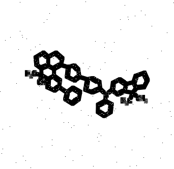 CC1(C)c2ccccc2-c2ccc(N(c3ccccc3)c3ccc(-c4ccc(-c5ccc6cccc7c6c5-c5cc(-c6ccccc6)ccc5C7(C)C)cc4)cc3)cc21